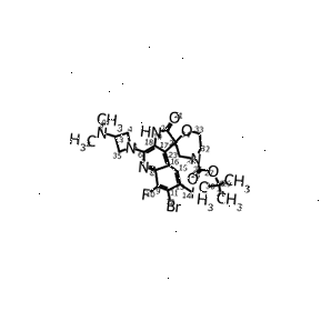 CN(C)C1CN(c2nc3c(F)c(Br)c(I)cc3c3c2NC(=O)C32CN(C(=O)OC(C)(C)C)CCO2)C1